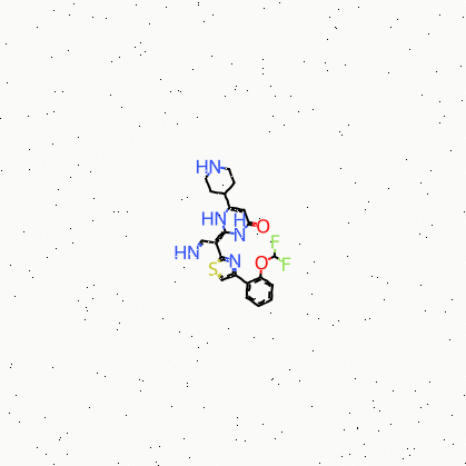 N=C/C(=C1/NC(=O)C=C(C2CCNCC2)N1)c1nc(-c2ccccc2OC(F)F)cs1